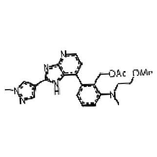 COCCN(C)c1cccc(-c2ccnc3nc(-c4cnn(C)c4)[nH]c23)c1COC(C)=O